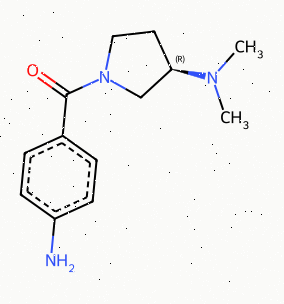 CN(C)[C@@H]1CCN(C(=O)c2ccc(N)cc2)C1